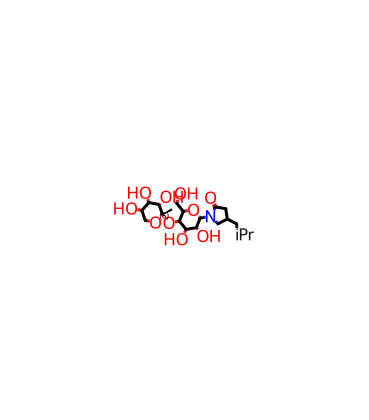 CC(C)CC1CC(=O)N(C2OC(CO)C(O[C@]3(C)OCC(O)C(O)C3O)C(O)C2O)C1